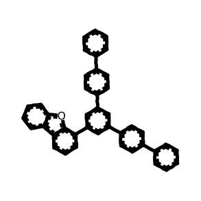 c1ccc(-c2ccc(-c3cc(-c4ccc(-c5ccccc5)cc4)cc(-c4cccc5c4oc4ccccc45)c3)cc2)cc1